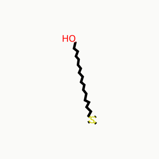 CS(C)(C)CCCCCCCCCCCCCCCCCCO